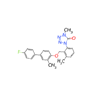 Cc1cc(-c2ccc(F)cc2)ccc1OCc1c(C)cccc1-n1nnn(C)c1=O